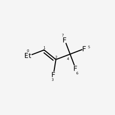 CCC=C(F)C(F)(F)F